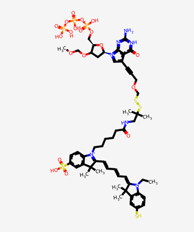 CCN1/C(=C/C=C/C=C/C2=[N+](CCCCCC(=O)NCC(C)(C)SSCOCC#Cc3cn([C@H]4CC(OCOC)[C@@H](COP(=O)(O)OP(=O)(O)OP(=O)(O)O)O4)c4nc(N)[nH]c(=O)c34)c3ccc(S(=O)(=O)O)cc3C2(C)C)C(C)(C)c2cc(S)ccc21